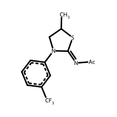 CC(=O)N=C1SC(C)CN1c1cccc(C(F)(F)F)c1